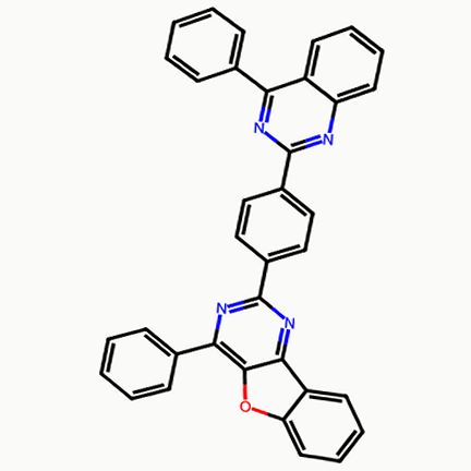 c1ccc(-c2nc(-c3ccc(-c4nc(-c5ccccc5)c5oc6ccccc6c5n4)cc3)nc3ccccc23)cc1